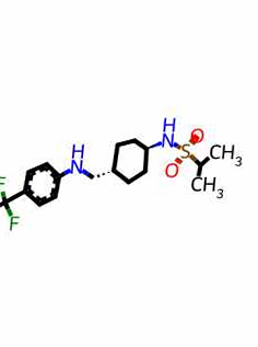 CC(C)S(=O)(=O)N[C@H]1CC[C@H](CNc2ccc(C(F)(F)F)cc2)CC1